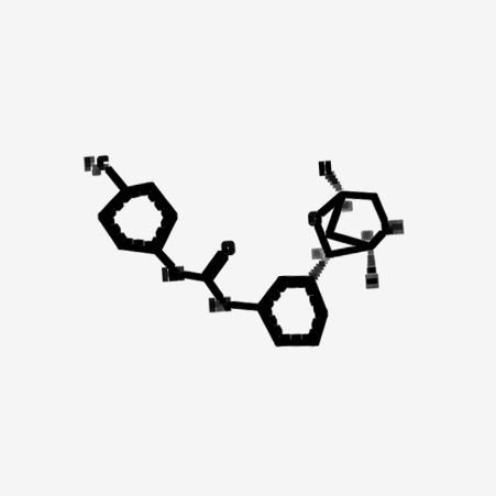 O=C(Nc1ccc(C(F)(F)F)cc1)Nc1cccc([C@@H]2O[C@H]3CN[C@@H]2C3)c1